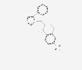 NS(=O)(=O)c1ccc2c(c1)CC[C@@H]([C@H]1c3ccccc3-c3cncn31)[C@H]2O